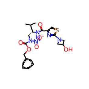 CC(C)[C@@H](CN(C(=O)OCc1ccccc1)[N+](=O)[O-])NC(=O)c1csc(N2CC(O)C2)n1